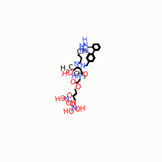 CCCc1nc(C(C)(C)O)c(C(=O)NCC(=O)OCCC(CON(O)O)ON(O)O)n1Cc1ccc(-c2ccccc2-c2nnn[nH]2)cc1